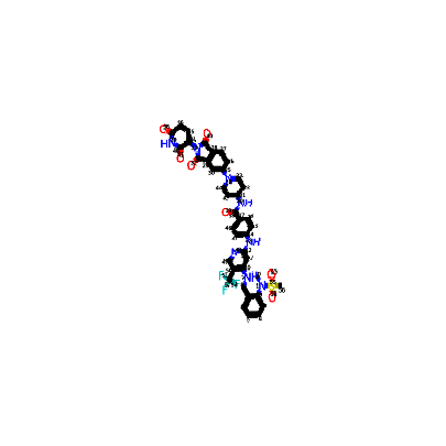 CN(c1ccccc1CNc1cc(Nc2ccc(C(=O)NC3CCN(c4ccc5c(c4)C(=O)N(C4CCC(=O)NC4=O)C5=O)CC3)cc2)ncc1C(F)(F)F)S(C)(=O)=O